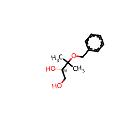 CC(C)(OCc1ccccc1)[C@@H](O)CO